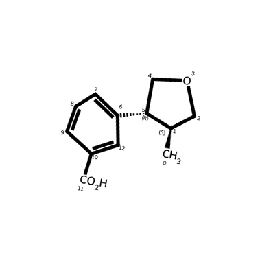 C[C@@H]1COC[C@H]1c1cccc(C(=O)O)c1